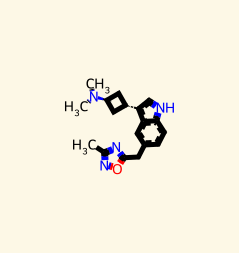 Cc1noc(Cc2ccc3[nH]cc([C@H]4C[C@H](N(C)C)C4)c3c2)n1